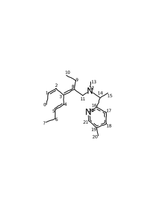 C\C=C/C(/C=C/CC)=C(\CC)CN(C)C(C)c1ccc(C)cn1